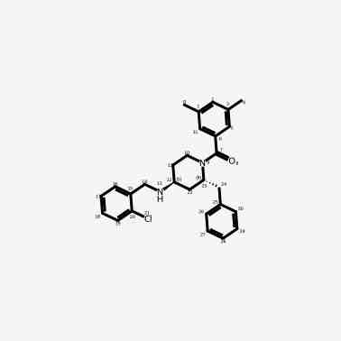 Cc1cc(C)cc(C(=O)N2CC[C@H](NCc3ccccc3Cl)C[C@H]2Cc2ccccc2)c1